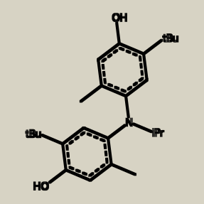 Cc1cc(O)c(C(C)(C)C)cc1N(c1cc(C(C)(C)C)c(O)cc1C)C(C)C